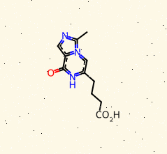 Cc1ncc2c(=O)[nH]c(CCCC(=O)O)cn12